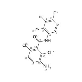 Cc1c(F)ccc(NC(=O)c2c(Cl)ccc(N)c2Cl)c1F